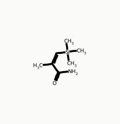 CC(=C[Si](C)(C)C)C(N)=O